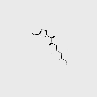 O=C(C(=O)[C@H](O)[C@@H](O)[C@H](O)[C@H](O)CO)c1ccc(CO)o1